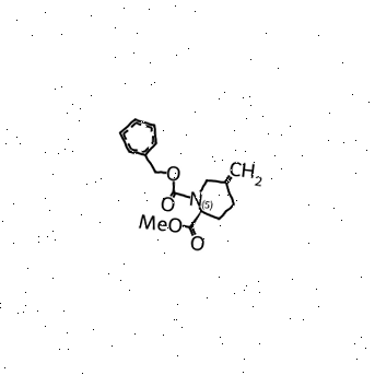 C=C1CC[C@@H](C(=O)OC)N(C(=O)OCc2ccccc2)C1